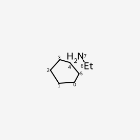 C1CCCCC1.CCN